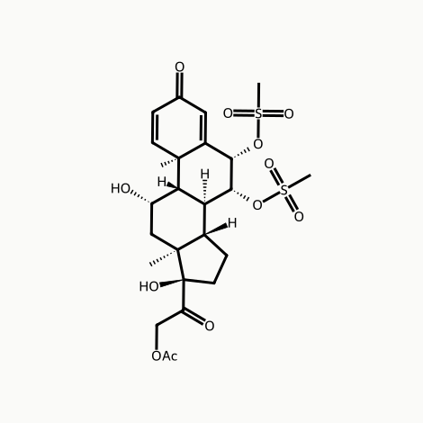 CC(=O)OCC(=O)[C@@]1(O)CC[C@H]2[C@@H]3[C@@H](OS(C)(=O)=O)[C@@H](OS(C)(=O)=O)C4=CC(=O)C=C[C@]4(C)[C@H]3[C@@H](O)C[C@@]21C